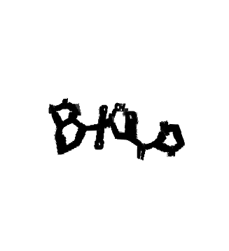 CN(CC(=O)Nc1nccs1)S(=O)(=O)c1cccc2nsnc12